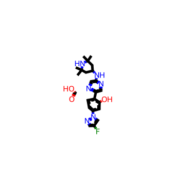 CC1(C)CC(Nc2cnc(-c3ccc(-n4cc(F)cn4)cc3O)cn2)CC(C)(C)N1.O=CO